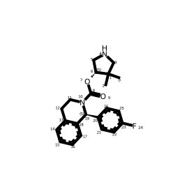 CC1(C)CNC[C@H]1OC(=O)N1CCc2ccccc2[C@@H]1c1ccc(F)cc1